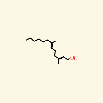 CCCCCCC(C)=CCCC(C)=CCO